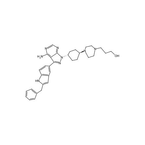 Nc1ncnc2c1c(-c1ccc3[nH]c(Cc4ccccc4)cc3c1)nn2[C@H]1CC[C@H](N2CCN(CCCO)CC2)CC1